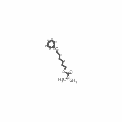 CN(C)C(=O)SCCCCCCOc1ccccc1